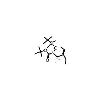 CC=C(CC)[C@H](C)N(O[Si](C)(C)C(C)(C)C)C(=O)OC(C)(C)C